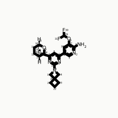 Nc1ncc(-c2cc(N3C[C@@H]4CC[C@H]3CO4)nc(N3CC4(CCC4)C3)n2)cc1OC(F)F